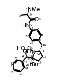 CN[C@@H](C)C(=O)Nc1ccc(C[C@@H]2CC[C@]([C@H](O)c3cccnc3)(C(C)(C)C)N2C(=O)O)cc1